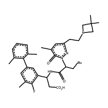 CCC(C)CC(C(=O)NC(CC(=O)O)c1cc(-c2c(C)cccc2C)cc(C)c1F)n1nc(CCN2CC(C)(C)C2)cc(C)c1=O